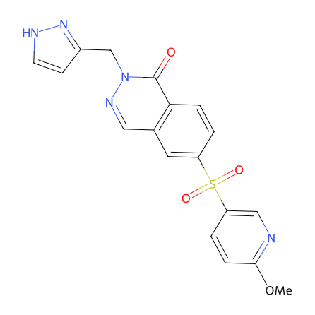 COc1ccc(S(=O)(=O)c2ccc3c(=O)n(Cc4cc[nH]n4)ncc3c2)cn1